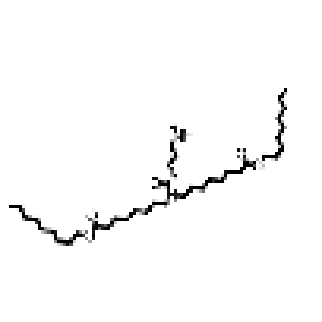 CCCCCC/C=C\COC(=O)CCCCCCCN(CCCCCCCC(=O)OC/C=C\CCCCCC)C(=O)SCCCNC